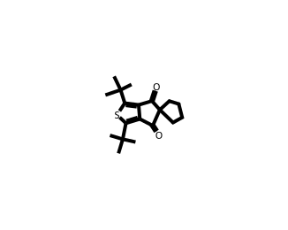 CC(C)(C)c1sc(C(C)(C)C)c2c1C(=O)C1(CCCC1)C2=O